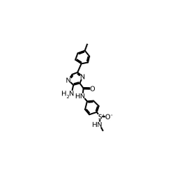 CN[S+]([O-])c1ccc(NC(=O)c2nc(-c3ccc(C)cc3)cnc2N)cc1